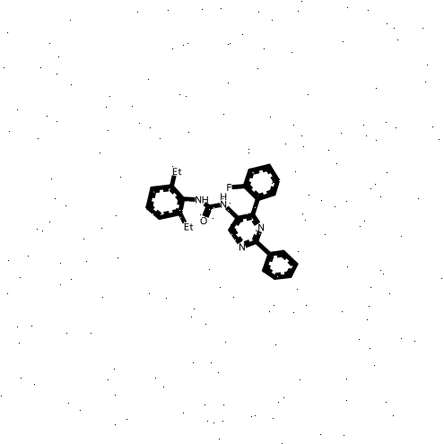 CCc1cccc(CC)c1NC(=O)Nc1cnc(-c2ccccc2)nc1-c1ccccc1F